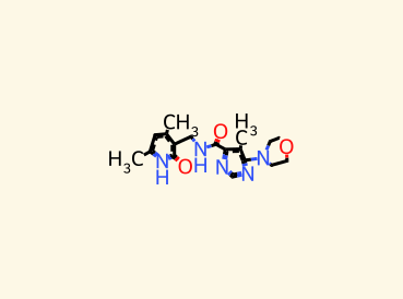 Cc1cc(C)c(CNC(=O)c2ncnc(N3CCOCC3)c2C)c(=O)[nH]1